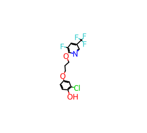 Oc1ccc(OCCCOc2ncc(C(F)(F)F)cc2F)cc1Cl